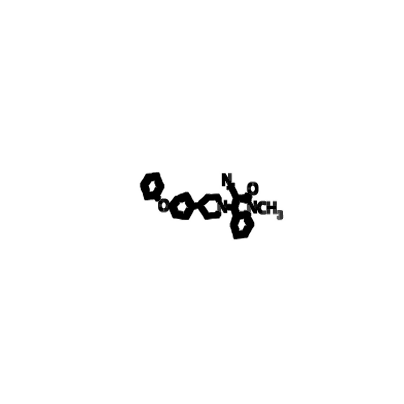 Cn1c(=O)c(C#N)c(N2CCC(c3ccc(Oc4ccccc4)cc3)CC2)c2ccccc21